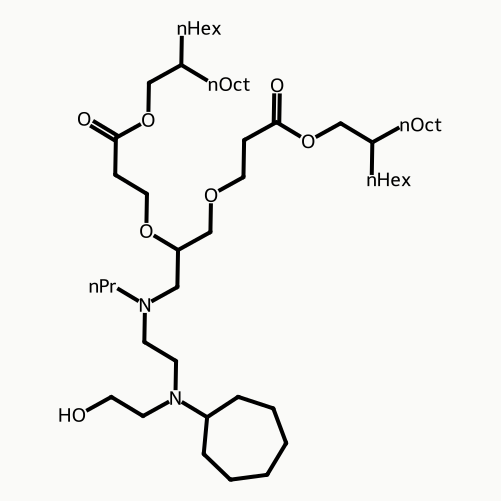 CCCCCCCCC(CCCCCC)COC(=O)CCOCC(CN(CCC)CCN(CCO)C1CCCCCC1)OCCC(=O)OCC(CCCCCC)CCCCCCCC